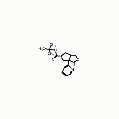 CC(C)(C)OC(=O)N1CC2CONC2(c2ccccn2)C1